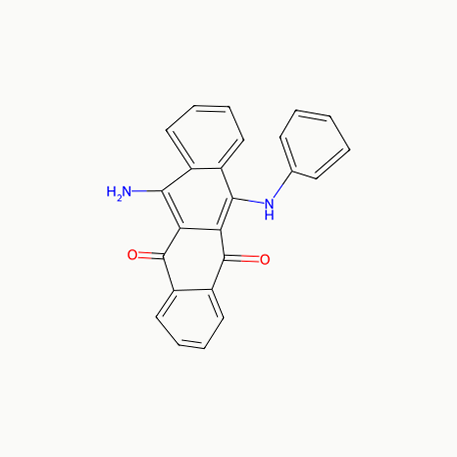 Nc1c2c(c(Nc3ccccc3)c3ccccc13)C(=O)c1ccccc1C2=O